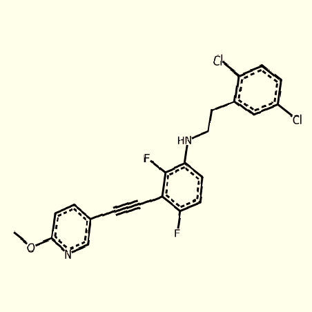 COc1ccc(C#Cc2c(F)ccc(NCCc3cc(Cl)ccc3Cl)c2F)cn1